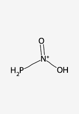 O=[N+](O)P